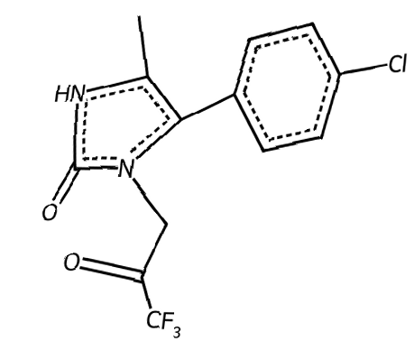 Cc1[nH]c(=O)n(CC(=O)C(F)(F)F)c1-c1ccc(Cl)cc1